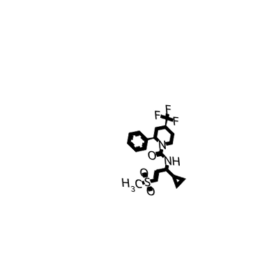 CS(=O)(=O)/C=C/C(NC(=O)N1CC[C@H](C(F)(F)F)C[C@@H]1c1ccccc1)C1CC1